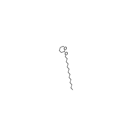 CCCCCCCCCCCCCCOC1CCCCO1